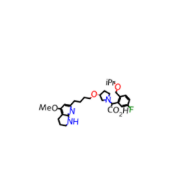 COc1cc(CCCCO[C@@H]2CCN(C(C(=O)O)c3cc(F)ccc3COC(C)C)C2)nc2c1CCCN2